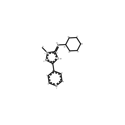 Cn1nc(-c2ccncc2)sc1=NC1CCCCC1